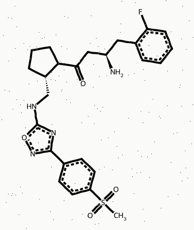 CS(=O)(=O)c1ccc(-c2noc(NC[C@@H]3CCCC3C(=O)C[C@H](N)Cc3ccccc3F)n2)cc1